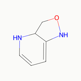 C1=CNC2CONC2=C1